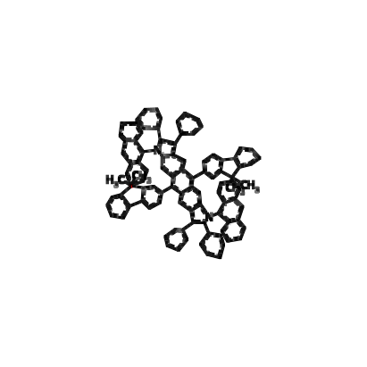 CC1(C)c2ccccc2-c2ccc(-c3c4cc5c(-c6ccccc6)c(-c6ccccc6)n(-c6c7ccccc7cc7ccccc67)c5cc4c(-c4ccc5c(c4)C(C)(C)c4ccccc4-5)c4cc5c(-c6ccccc6)c(-c6ccccc6)n(-c6c7ccccc7cc7ccccc67)c5cc34)cc21